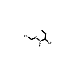 CCC(O)[SiH](C)OCO